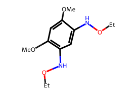 CCONc1cc(NOCC)c(OC)cc1OC